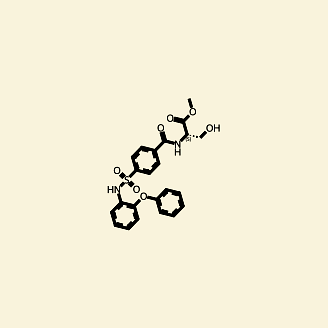 COC(=O)[C@H](CO)NC(=O)c1ccc(S(=O)(=O)Nc2ccccc2Oc2ccccc2)cc1